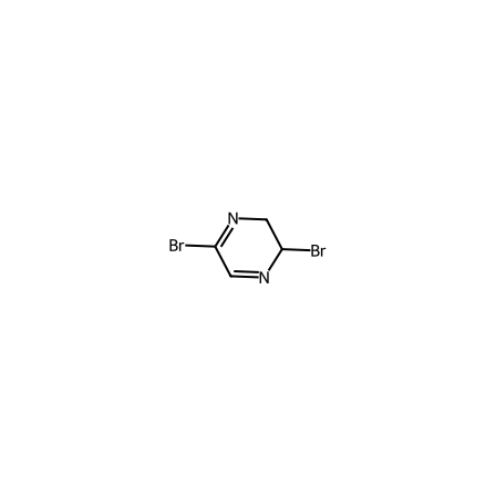 BrC1=NCC(Br)N=C1